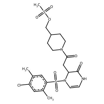 Cc1cc(S(=O)(=O)N2C=CNC(=O)C2CC(=O)N2CCC(COS(C)(=O)=O)CC2)c(C)cc1Cl